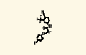 C[C@H](COc1ccc(Cl)cc1)C(=O)Nc1ccc(C#N)c(C(F)(F)F)c1